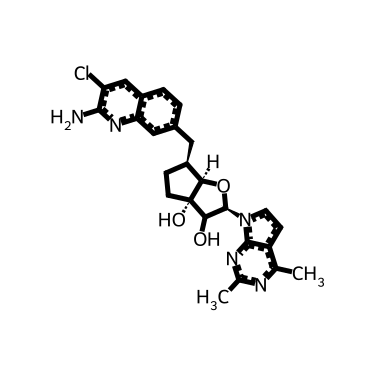 Cc1nc(C)c2ccn([C@@H]3O[C@@H]4[C@H](Cc5ccc6cc(Cl)c(N)nc6c5)CC[C@]4(O)C3O)c2n1